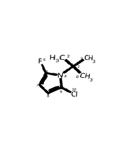 CC(C)(C)n1c(F)ccc1Cl